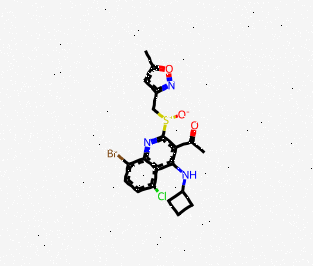 CC(=O)c1c([S+]([O-])Cc2cc(C)on2)nc2c(Br)ccc(Cl)c2c1NC1CCC1